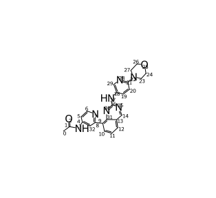 CC(=O)Nc1ccnc(-c2cccc3cnc(Nc4ccc(N5CCOCC5)nc4)nc23)c1